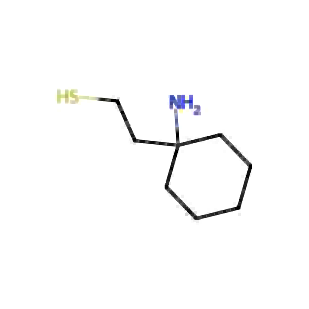 NC1(CCS)CCCCC1